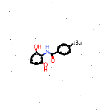 CC(C)(C)c1ccc(C(=O)Nc2c(O)cccc2O)cc1